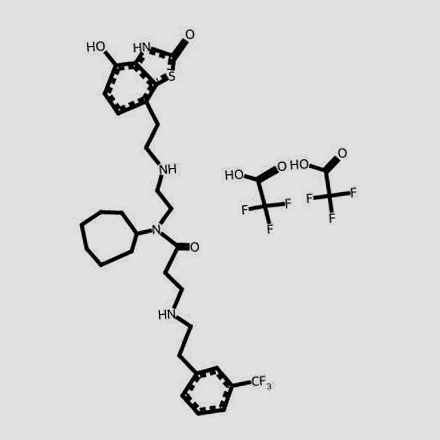 O=C(CCNCCc1cccc(C(F)(F)F)c1)N(CCNCCc1ccc(O)c2[nH]c(=O)sc12)C1CCCCCC1.O=C(O)C(F)(F)F.O=C(O)C(F)(F)F